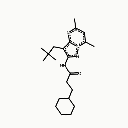 Cc1cc(C)n2nc(NC(=O)CCC3CCCCC3)c(CC(C)(C)C)c2n1